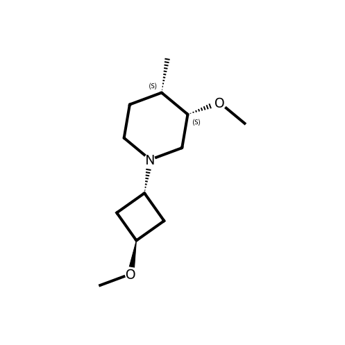 CO[C@@H]1CN([C@H]2C[C@H](OC)C2)CC[C@@H]1C